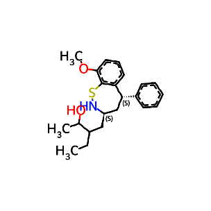 CCC(C[C@@H]1C[C@@H](c2ccccc2)c2cccc(OC)c2SN1)C(C)O